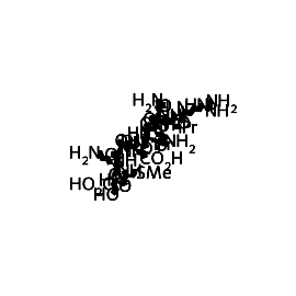 CSCC[C@H](NC(=O)[C@H](CCCCN)NC(=O)[C@H](CO)NC(=O)[C@H](CCC(=O)O)NC(=O)[C@H](CC(C)C)NC(=O)[C@H](CCC(N)=O)NC(=O)[C@H](CC(N)=O)NC(=O)[C@H](CC(C)C)NC(=O)[C@@H](N)CCCNC(=N)N)C(=O)N[C@@H](CO)C(=O)O